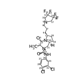 C[C@H]1C(=O)N2[C@@H](CCCN3CC(F)(F)C(F)(F)C3)CC[C@H]2CN1C(=O)Nc1ccc(Cl)c(Cl)c1